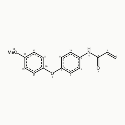 C=CC(=O)Nc1ccc(Oc2ccc(OC)cc2)cc1